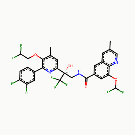 Cc1cnc2c(OC(F)F)cc(C(=O)NC[C@](O)(c3cc(C)c(OCC(F)F)c(-c4ccc(F)c(Cl)c4)n3)C(F)(F)F)cc2c1